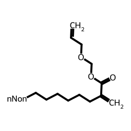 C=CCOCOC(=O)C(=C)CCCCCCCCCCCCCCC